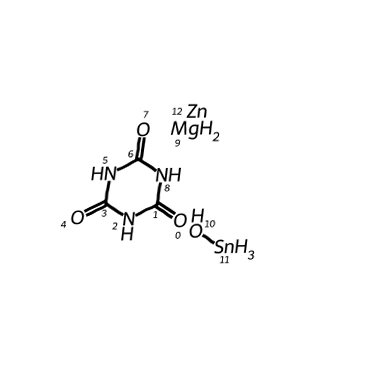 O=c1[nH]c(=O)[nH]c(=O)[nH]1.[MgH2].[OH][SnH3].[Zn]